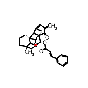 C=C1C=C2C[C@@]3(C1=O)C2[C@@]12CCC[C@@](C)(COC1=O)C2C[C@H]3OC(=O)/C=C/c1ccccc1